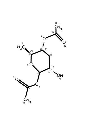 CC(=O)OC1O[C@@H](C)[C@H](OC(C)=O)C[C@@H]1O